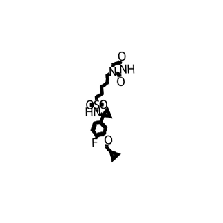 O=C1CN(CCCCCS(=O)(=O)NC2(c3ccc(F)c(OCC4CC4)c3)CC2)C(=O)N1